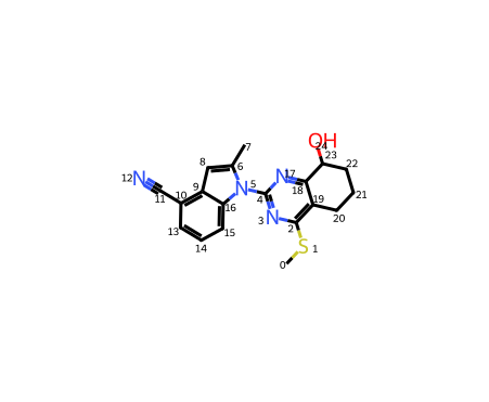 CSc1nc(-n2c(C)cc3c(C#N)cccc32)nc2c1CCCC2O